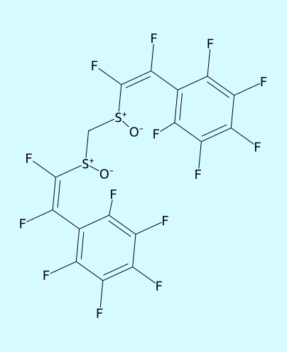 [O-][S+](C[S+]([O-])/C(F)=C(/F)c1c(F)c(F)c(F)c(F)c1F)/C(F)=C(/F)c1c(F)c(F)c(F)c(F)c1F